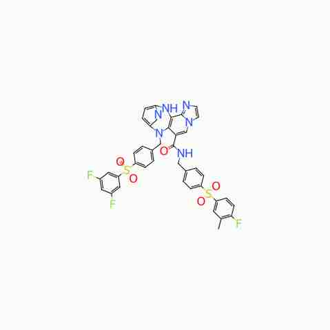 Cc1cc(S(=O)(=O)c2ccc(CNC(=O)c3cn4ccnc4c4[nH]c5ccc(cn5)n(Cc5ccc(S(=O)(=O)c6cc(F)cc(F)c6)cc5)c34)cc2)ccc1F